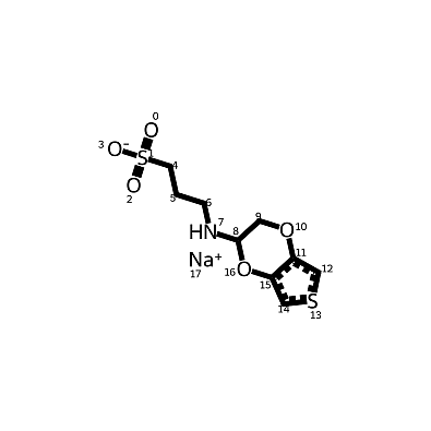 O=S(=O)([O-])CCCNC1COc2cscc2O1.[Na+]